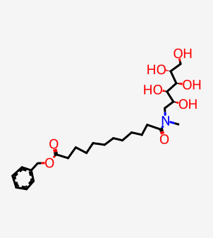 CN(C[C@H](O)[C@@H](O)[C@H](O)[C@H](O)CO)C(=O)CCCCCCCCCCC(=O)OCc1ccccc1